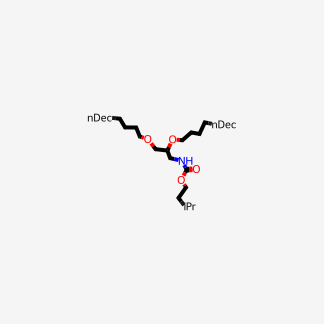 CCCCCCCCCCCCCCOCC(CNC(=O)OCCC(C)C)OCCCCCCCCCCCCCC